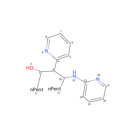 CCCCCC(O)C(c1ccccn1)C(CCCCC)Nc1ccccn1